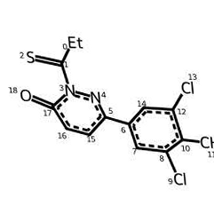 CCC(=S)n1nc(-c2cc(Cl)c(C)c(Cl)c2)ccc1=O